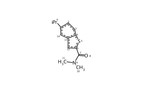 CC(C)c1ccc2sc(C(=O)N(C)C)cc2c1